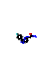 NC(=O)CNc1ccc2nnc(-c3ccc(F)cc3)n2n1